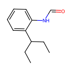 CCC(CC)c1ccccc1NC=O